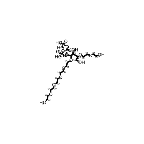 O=P(O)(O)OP(=S)(OC(OCCOCCOCCOCCOCCO)C(O)C(CO)OCCOCCO)OP(=O)(O)O